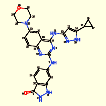 O=c1[nH][nH]c2cc(Nc3nc(Nc4cc(C5CC5)[nH]n4)c4cc(N5CCOCC5)ccc4n3)ccc12